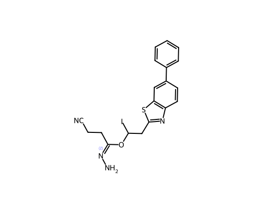 N#CCC/C(=N/N)OC(I)Cc1nc2ccc(-c3ccccc3)cc2s1